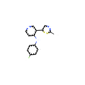 O=Cc1ncc(-c2cnccc2Nc2ccc(F)cc2)s1